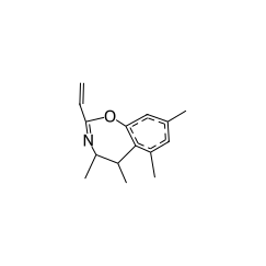 C=CC1=NC(C)C(C)c2c(C)cc(C)cc2O1